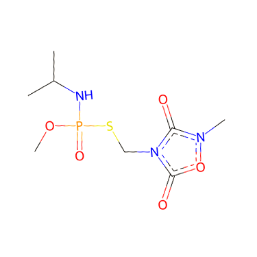 COP(=O)(NC(C)C)SCn1c(=O)on(C)c1=O